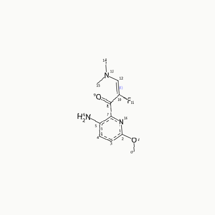 COc1ccc(N)c(C(=O)/C(F)=C\N(C)C)n1